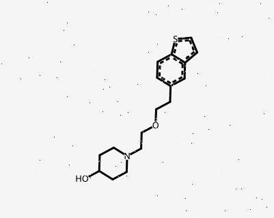 OC1CCN(CCOCCc2ccc3sccc3c2)CC1